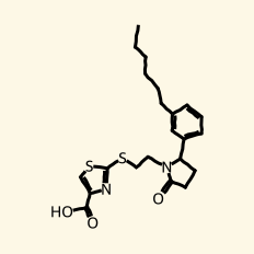 CCCCCCc1cccc(C2CCC(=O)N2CCSc2nc(C(=O)O)cs2)c1